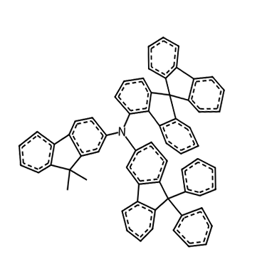 CC1(C)c2ccccc2-c2ccc(N(c3ccc4c(c3)-c3ccccc3C4(c3ccccc3)c3ccccc3)c3cccc4c3-c3ccccc3C43c4ccccc4-c4ccccc43)cc21